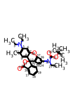 CCN(CC)c1cc2c(cc1C)C1(OC(=O)c3ccccc31)c1ccc(N(CC)C(=O)OC(C)(C)C)cc1O2